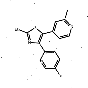 CCc1nc(-c2ccc(F)cc2)c(-c2ccnc(C)c2)s1